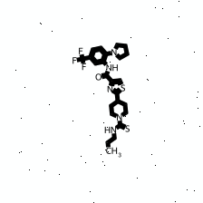 CCCNC(=S)N1CCC(c2nc(C(=O)Nc3cc(C(F)(F)F)ccc3N3CCCC3)cs2)CC1